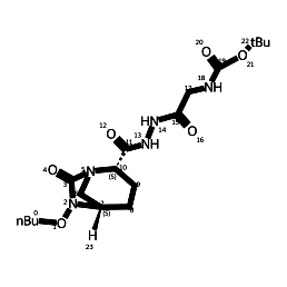 CCCCON1C(=O)N2C[C@@H]1CC[C@H]2C(=O)NNC(=O)CNC(=O)OC(C)(C)C